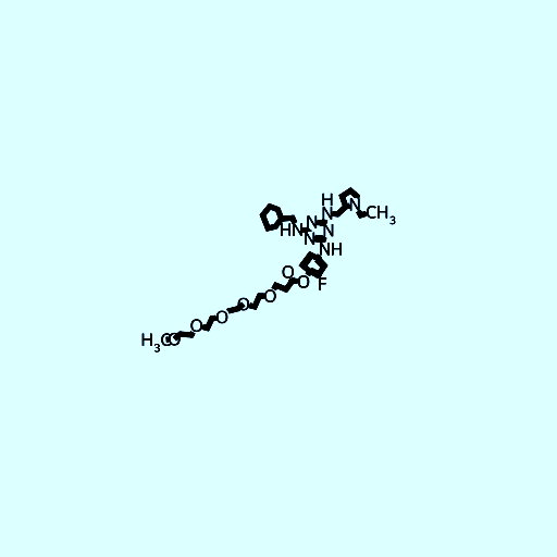 CCN1CCCC1CNc1nc(NCC2CCCCC2)nc(Nc2ccc(OC(=O)CCOCCOCCOCCOCCOC)c(F)c2)n1